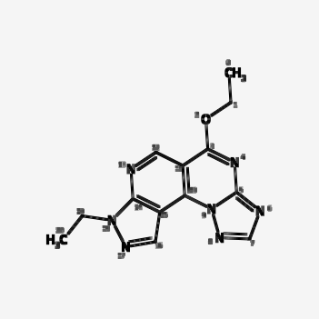 CCOc1nc2ncnn2c2c1cnc1c2cnn1CC